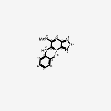 CNc1nc2nonc2nc1Nc1ccccc1F